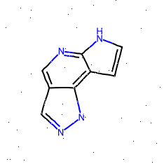 C1=N[N]c2c1cnc1[nH]ccc21